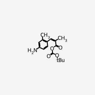 CC(=Cc1ccc(N)cc1C)C(=O)OC(=O)OC(C)(C)C